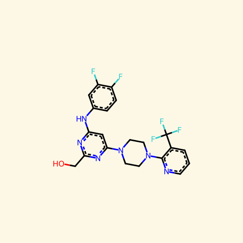 OCc1nc(Nc2ccc(F)c(F)c2)cc(N2CCN(c3ncccc3C(F)(F)F)CC2)n1